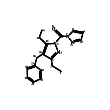 CCc1nn(C(=O)n2cccn2)c(CC)c1Cc1ccccc1